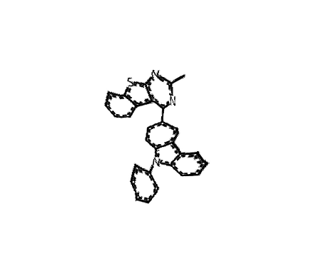 Cc1nc(-c2ccc3c(c2)c2ccccc2n3-c2ccccc2)c2c(n1)sc1ccccc12